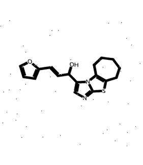 OC(C=Cc1ccco1)c1cnc2sc3c(n12)CCCCC3